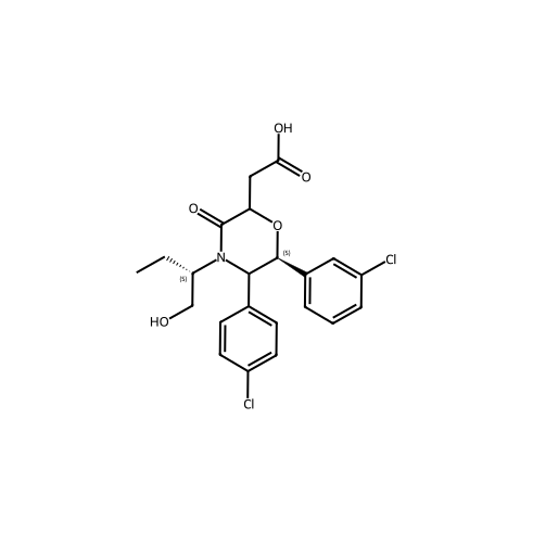 CC[C@@H](CO)N1C(=O)C(CC(=O)O)O[C@@H](c2cccc(Cl)c2)C1c1ccc(Cl)cc1